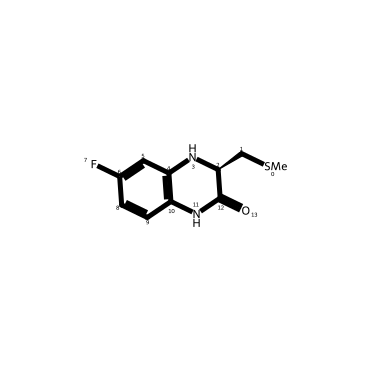 CSC[C@@H]1Nc2cc(F)ccc2NC1=O